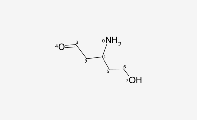 NC(CC=O)CCO